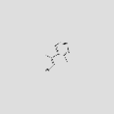 CCCC=C(C)c1cccnc1C